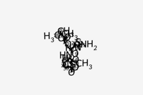 CCS[N+]12C(=O)C(NC(=O)C(=NOCC(=O)OC(C)(C)C)c3csc(N)n3)[C@@H]1SCC=C2C(=O)[O-]